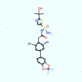 CC(C)c1cc(-c2ccc3c(c2)OC(F)(F)O3)cc(C(C)C)c1CC(=O)N=S(N)(=O)c1cnc(C(C)(C)O)s1